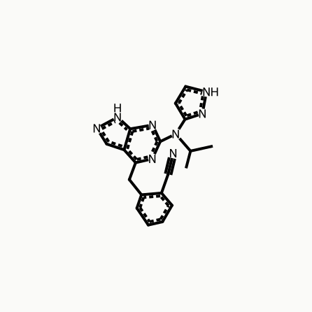 CC(C)N(c1cc[nH]n1)c1nc(Cc2ccccc2C#N)c2cn[nH]c2n1